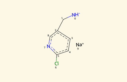 [NH-]Cc1ccc(Cl)nc1.[Na+]